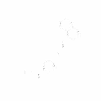 O=C(O)C(=O)c1ccc(OC/C=C/c2cccc3ccccc23)cc1